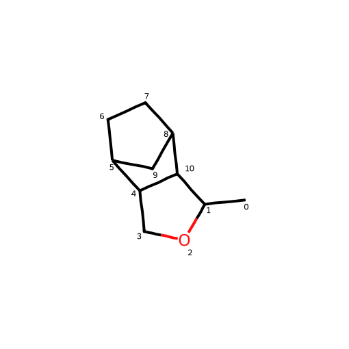 CC1OCC2C3CCC(C3)C12